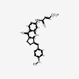 CCOc1ccc(C=C2CCc3c2oc2cc(NC(=O)/C=C/C(=O)O)ccc2c3=O)cc1